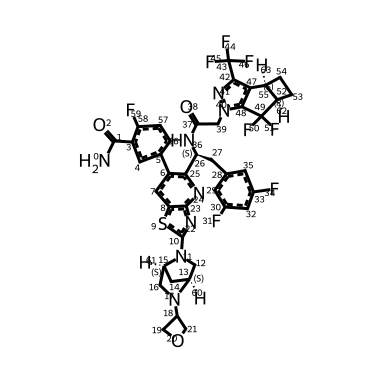 NC(=O)c1cc(-c2cc3sc(N4C[C@@H]5C[C@H]4CN5C4COC4)nc3nc2[C@H](Cc2cc(F)cc(F)c2)NC(=O)Cn2nc(C(F)(F)F)c3c2C(F)(F)[C@@H]2CC[C@H]32)ccc1F